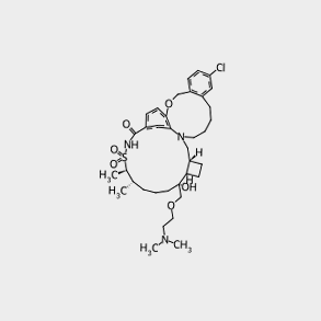 C[C@@H]1[C@@H](C)CCC[C@](O)(COCCN(C)C)[C@@H]2CC[C@H]2CN2CCCCc3cc(Cl)ccc3COc3ccc(cc32)C(=O)NS1(=O)=O